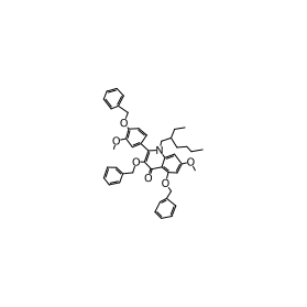 CCCCC(CC)Cn1c(-c2ccc(OCc3ccccc3)c(OC)c2)c(OCc2ccccc2)c(=O)c2c(OCc3ccccc3)cc(OC)cc21